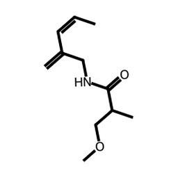 C=C(/C=C\C)CNC(=O)C(C)COC